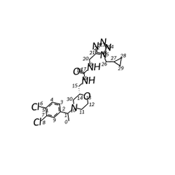 CC(c1ccc(Cl)c(Cl)c1)N1CCO[C@@H](CNC(=O)NCc2nnnn2CC2CC2)C1